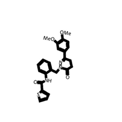 COc1ccc(C2=NN(Cc3ccccc3NC(=O)c3cccs3)C(=O)CC2)cc1OC